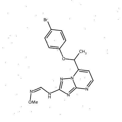 CO/N=C\Nc1nc2nccc(C(C)Oc3ccc(Br)cc3)n2n1